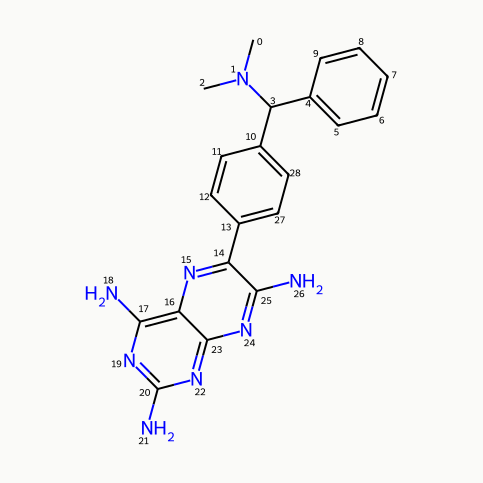 CN(C)C(c1ccccc1)c1ccc(-c2nc3c(N)nc(N)nc3nc2N)cc1